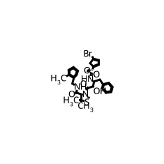 Cc1ccccc1CNC(=O)C1N(C(=O)C(O)C(Cc2ccccc2)NS(=O)(=O)C2=CC=C(Br)C2)CSC1(C)C